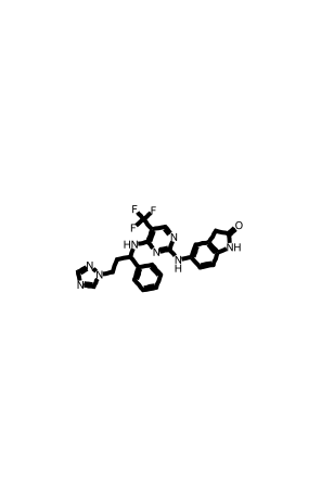 O=C1Cc2cc(Nc3ncc(C(F)(F)F)c(NC(CCn4cncn4)c4ccccc4)n3)ccc2N1